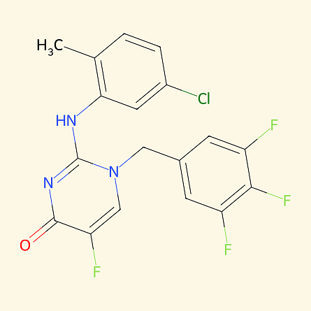 Cc1ccc(Cl)cc1Nc1nc(=O)c(F)cn1Cc1cc(F)c(F)c(F)c1